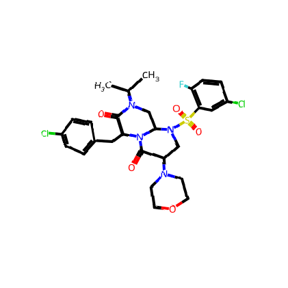 CC(C)N1CC2N(C(=O)C(N3CCOCC3)CN2S(=O)(=O)c2cc(Cl)ccc2F)C(Cc2ccc(Cl)cc2)C1=O